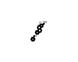 C[C@]12CCC3c4ccc(OCc5ccccc5)cc4CCC3C1C/C(=C/O)C2=O